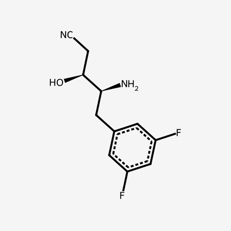 N#CC[C@H](O)[C@@H](N)Cc1cc(F)cc(F)c1